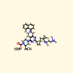 Cc1cccc2cccc(N3CCc4c(nc(C5CCC5CC5(CN(C)CCN(C)C)CC5)nc4N4CCN(C(=O)OC(C)(C)C)C(CC#N)C4)C3)c12